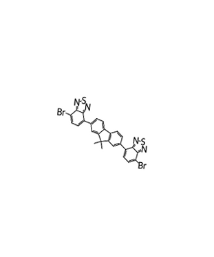 CC1(C)c2cc(-c3ccc(Br)c4nsnc34)ccc2-c2ccc(-c3ccc(Br)c4nsnc34)cc21